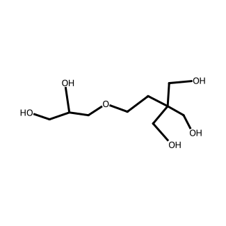 OCC(O)COCCC(CO)(CO)CO